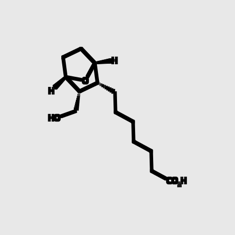 O=C(O)CCCCCC[C@@H]1[C@H](CO)[C@@H]2CC[C@H]1O2